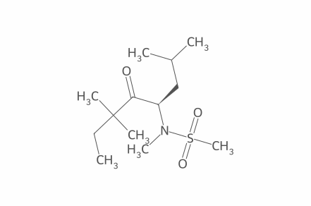 CCC(C)(C)C(=O)[C@@H](CC(C)C)N(C)S(C)(=O)=O